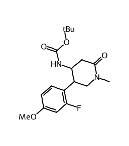 COc1ccc(C2CN(C)C(=O)CC2NC(=O)OC(C)(C)C)c(F)c1